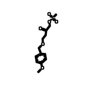 COc1ccc(COCCC(=O)COS(C)(=O)=O)cc1